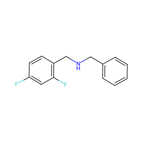 Fc1ccc(CNCc2ccccc2)c(F)c1